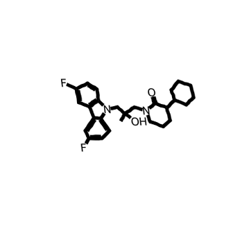 CC(O)(CN1CCCC(C2CCCCC2)C1=O)Cn1c2ccc(F)cc2c2cc(F)ccc21